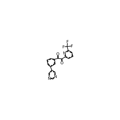 O=C(C(=O)c1cccc(C(F)(F)F)n1)c1cccc(-c2cncnc2)c1